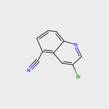 N#Cc1cccc2ncc(Br)cc12